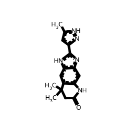 Cc1cc(-c2nc3cc4c(cc3[nH]2)C(C)(C)CC(=O)N4)n[nH]1